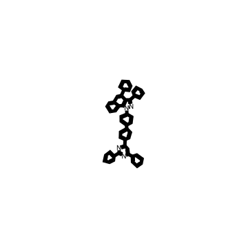 c1ccc(-c2cc(-c3ccc(-c4ccc(-n5nc(-c6ccccc6)c6c(-c7ccccc7)cc7ccccc7c65)cc4)cc3)nc(-c3ccccc3)n2)cc1